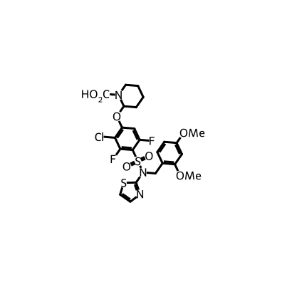 COc1ccc(CN(c2nccs2)S(=O)(=O)c2c(F)cc(OC3CCCCN3C(=O)O)c(Cl)c2F)c(OC)c1